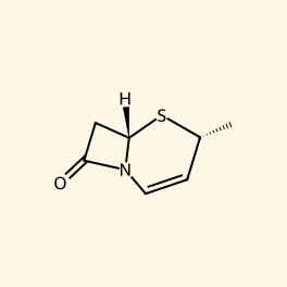 C[C@@H]1C=CN2C(=O)C[C@@H]2S1